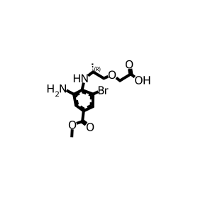 COC(=O)c1cc(N)c(N[C@H](C)COCC(=O)O)c(Br)c1